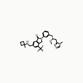 CO[C@@H](Cc1cccc(N2Cc3c(cc(CNC4(C)CCC4)cc3C(F)(F)F)C2=O)c1)Cc1nncn1C